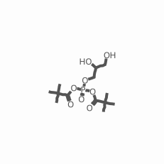 CC(C)(C)C(=O)OP(=O)(OCC(O)CO)OC(=O)C(C)(C)C